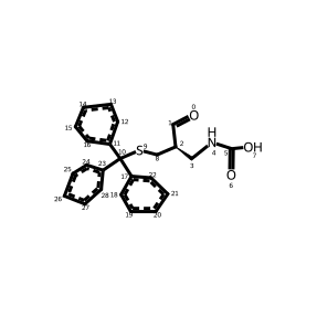 O=C[C@@H](CNC(=O)O)CSC(c1ccccc1)(c1ccccc1)c1ccccc1